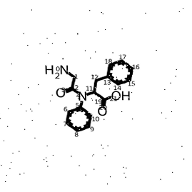 NCC(=O)N(c1ccccc1)C(Cc1ccccc1)C(=O)O